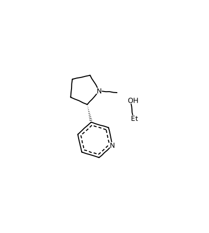 CCO.CN1CCC[C@H]1c1cccnc1